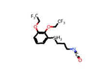 O=C=NCCC[SiH2]c1cccc(OCC(F)(F)F)c1OCC(F)(F)F